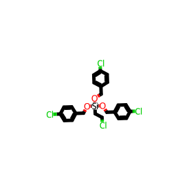 ClCC[Si](OCc1ccc(Cl)cc1)(OCc1ccc(Cl)cc1)OCc1ccc(Cl)cc1